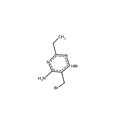 Br.CCc1ncc(CBr)c(N)n1